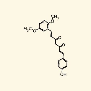 COc1ccc(OC)c(C=CC(=O)CC(=O)C=Cc2ccc(O)cc2)c1